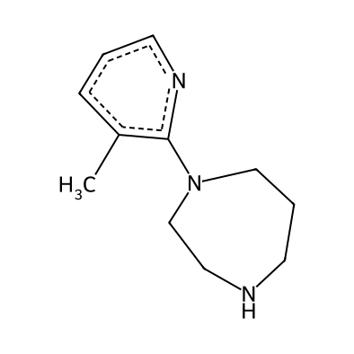 Cc1cccnc1N1CCCNCC1